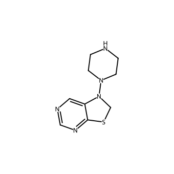 c1ncc2c(n1)SCN2N1CCNCC1